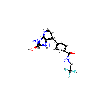 O=C(NCC(F)(F)F)c1ccc(-c2ccnc3[nH]c(=O)[nH]c23)cc1